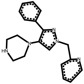 c1ccc(-c2nn(Cc3ccccn3)cc2N2CCNCC2)cc1